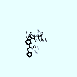 Cc1oc2ccc(C(Cc3ccccc3)N(C)C)cc2c1C(=O)N[C@@](C)(CO)C(N)=O